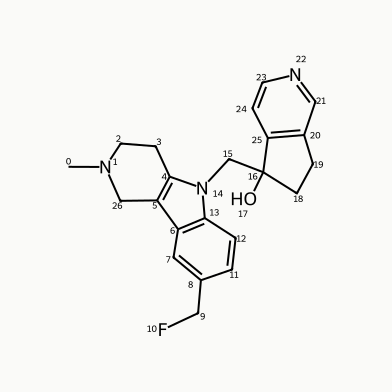 CN1CCc2c(c3cc(CF)ccc3n2CC2(O)CCc3cnccc32)C1